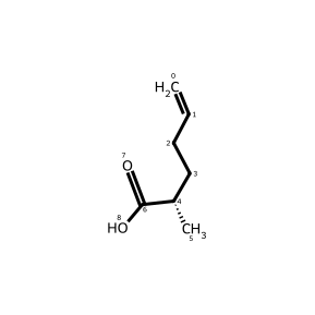 C=CCC[C@H](C)C(=O)O